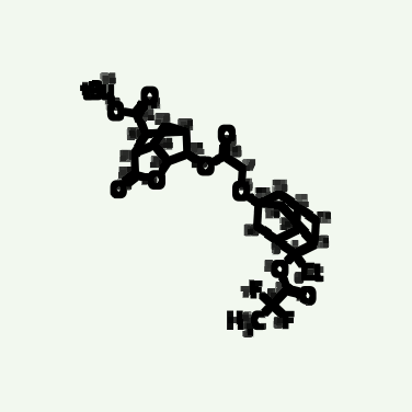 CCC1(OC(=O)C(C)(F)F)C2CC3CC1CC(OCC(=O)OC1C4CC5C1OC(=O)C5C4C(=O)OC(C)(C)C)(C3)C2